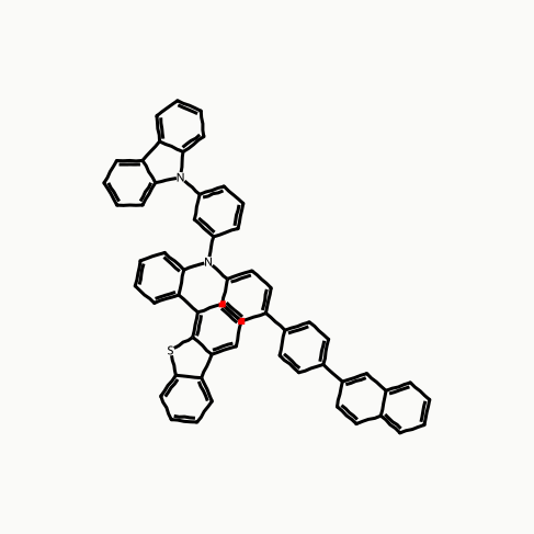 c1cc(N(c2ccc(-c3ccc(-c4ccc5ccccc5c4)cc3)cc2)c2ccccc2-c2cccc3c2sc2ccccc23)cc(-n2c3ccccc3c3ccccc32)c1